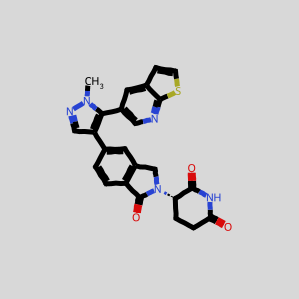 Cn1ncc(-c2ccc3c(c2)CN([C@H]2CCC(=O)NC2=O)C3=O)c1-c1cnc2sccc2c1